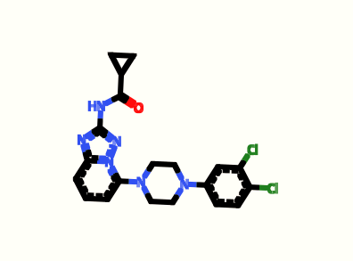 O=C(Nc1nc2cccc(N3CCN(c4ccc(Cl)c(Cl)c4)CC3)n2n1)C1CC1